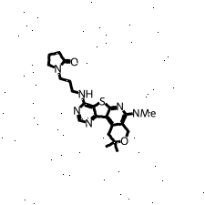 CNc1nc2sc3c(NCCCN4CCCC4=O)ncnc3c2c2c1COC(C)(C)C2